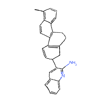 Cc1cccc2c3c(ccc12)C1=C(CC3)CC(c2cc3ccccc3nc2N)C=C1